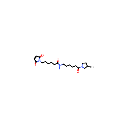 CC(C)(C)[C@@H]1CCN(C(=O)CCCCCNC(=O)CCCCCN2C(=O)C=CC2=O)C1